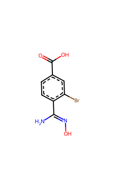 N/C(=N\O)c1ccc(C(=O)O)cc1Br